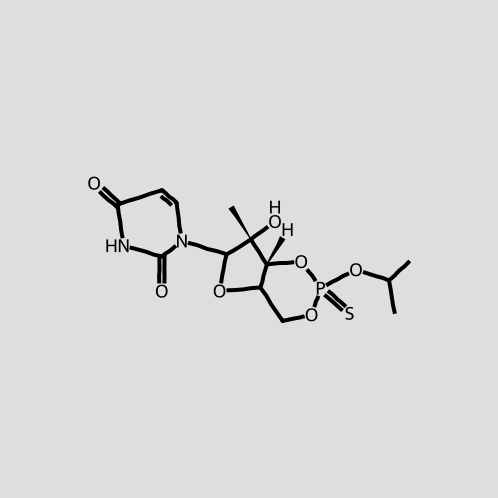 CC(C)OP1(=S)OCC2OC(n3ccc(=O)[nH]c3=O)[C@](C)(O)[C@@H]2O1